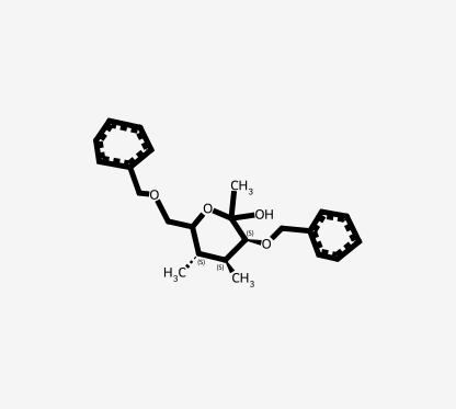 C[C@H]1[C@H](C)C(COCc2ccccc2)OC(C)(O)[C@H]1OCc1ccccc1